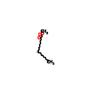 CCCCCC=CC/C=C\CCCCCCCC(=O)CC(=O)OC